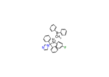 CB(c1ccccc1)c1ccccc1.Fc1ccc([SiH2]C(c2ccccc2)(c2ccccc2)n2ccnc2)cc1